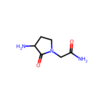 NC(=O)CN1CCC(N)C1=O